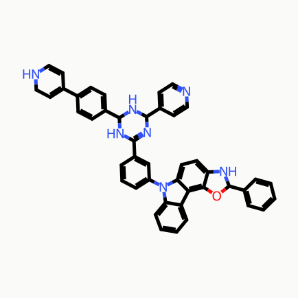 C1=CC(c2ccc(C3NC(c4cccc(-n5c6ccccc6c6c7c(ccc65)NC(c5ccccc5)O7)c4)=NC(c4ccncc4)N3)cc2)=CCN1